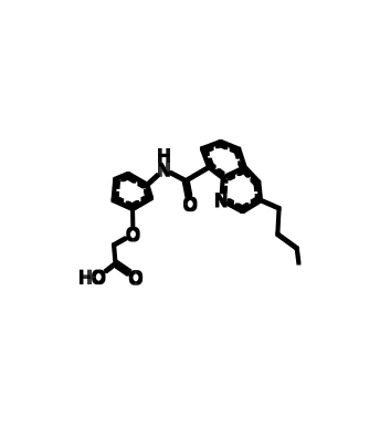 CCCCc1cnc2c(C(=O)Nc3cccc(OCC(=O)O)c3)cccc2c1